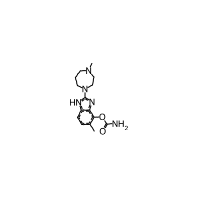 Cc1ccc2[nH]c(N3CCCN(C)CC3)nc2c1OC(N)=O